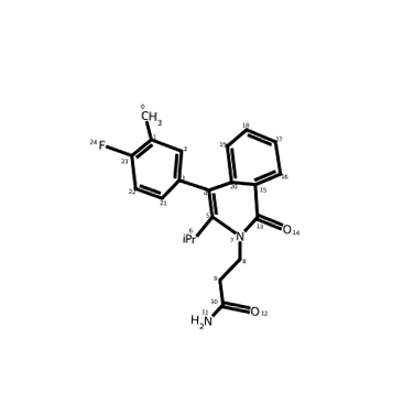 Cc1cc(-c2c(C(C)C)n(CCC(N)=O)c(=O)c3ccccc23)ccc1F